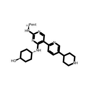 CCC[C@H](C)Nc1ncc(-c2ccc(C3CCNCC3)cn2)c(N[C@H]2CC[C@H](O)CC2)n1